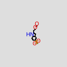 CS(=O)(=O)c1ccc2[nH]c(CCOC=O)cc2c1